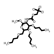 CCCCOCC1O[C@@H](OC)[C@@H](NC(=O)OCC(Cl)(Cl)Cl)C(OCCCC)[C@@H]1OCCCC